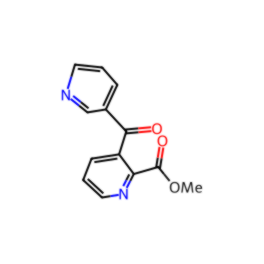 COC(=O)c1ncccc1C(=O)c1cccnc1